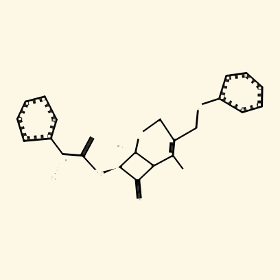 N[C@@H](C(=O)N[C@@H]1C(=O)C2C(C(=O)O)=C(CSc3ccccc3)CS[C@@H]21)c1ccccc1